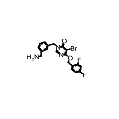 NCc1cccc(Cn2cnc(OCc3ccc(F)cc3F)c(Br)c2=O)c1